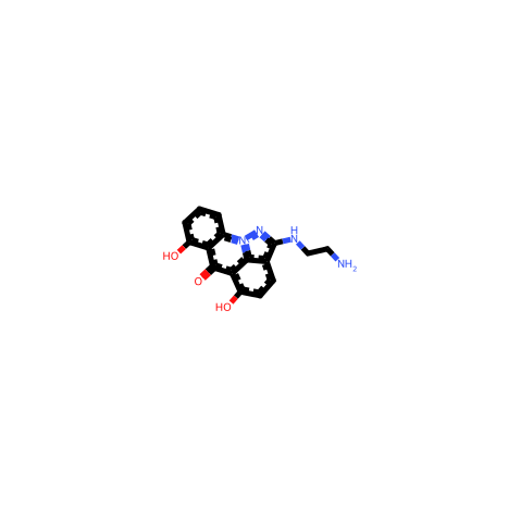 NCCNc1nn2c3cccc(O)c3c(=O)c3c(O)ccc1c32